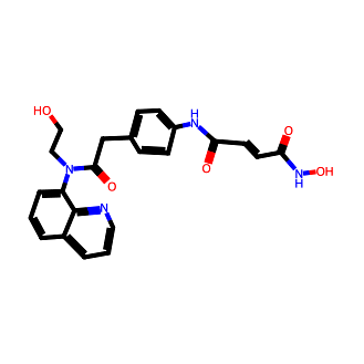 O=C(/C=C/C(=O)Nc1ccc(CC(=O)N(CCO)c2cccc3cccnc23)cc1)NO